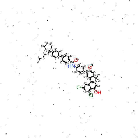 CCCCCC1(c2ccc(-c3ccc(C(=O)Nc4ccc(-c5cc6c(cc5OC)C(C)(C)c5cc(O)c7c(Cl)cc(Cl)cc7c5-6)cc4)cc3)cc2)CCCCC1